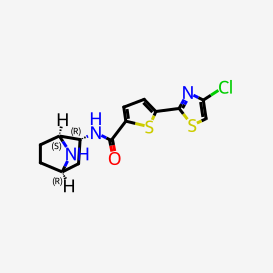 O=C(N[C@@H]1C[C@H]2CC[C@@H]1N2)c1ccc(-c2nc(Cl)cs2)s1